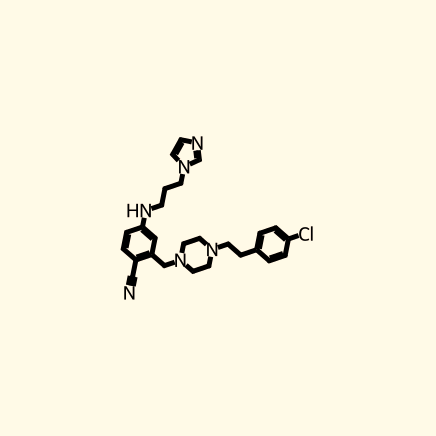 N#Cc1ccc(NCCCn2ccnc2)cc1CN1CCN(CCc2ccc(Cl)cc2)CC1